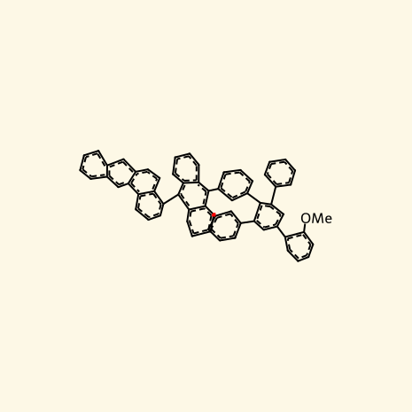 COc1ccccc1-c1cc(-c2ccccc2)c(-c2cccc(-c3c4ccccc4c(-c4cccc5c4ccc4cc6ccccc6cc45)c4ccccc34)c2)c(-c2ccccc2)c1